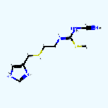 CS/C(=N\CCSCc1c[nH]cn1)NC#N